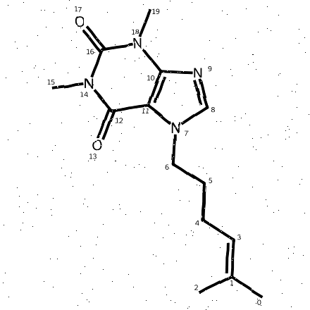 CC(C)=CCCCn1cnc2c1c(=O)n(C)c(=O)n2C